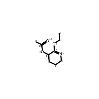 CCOC1=NCCCC1OC(C)=O